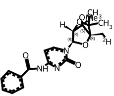 [2H]C[C@]12O[C@@H](n3ccc(NC(=O)c4ccccc4)nc3=O)[C@H](OC1(C)C)[C@@H]2OC